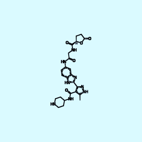 Cc1[nH]nc(-c2nc3cc(NC(=O)CNC(=O)[C@H]4CCC(=O)O4)ccc3[nH]2)c1C(=O)NC1CCNCC1